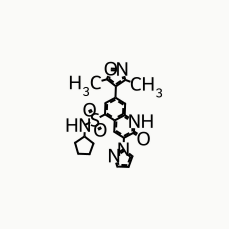 Cc1noc(C)c1-c1cc(S(=O)(=O)NC2CCCC2)c2cc(-n3cccn3)c(=O)[nH]c2c1